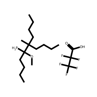 CCCCC(C)(CCCC)C(P)(CCCC)OC.O=C(O)C(F)(F)C(F)(F)F